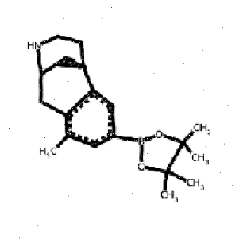 Cc1cc(B2OC(C)(C)C(C)(C)O2)cc2c1CC1NCCC23CCCCC13